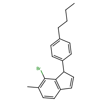 CCCCc1ccc(C2C=Cc3ccc(C)c(Br)c32)cc1